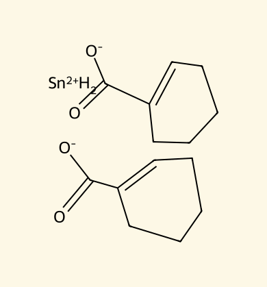 O=C([O-])C1=CCCCC1.O=C([O-])C1=CCCCC1.[SnH2+2]